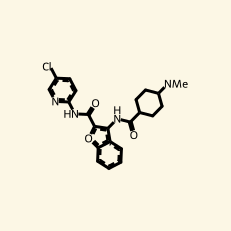 CNC1CCC(C(=O)Nc2c(C(=O)Nc3ccc(Cl)cn3)oc3ccccc23)CC1